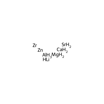 [AlH3].[CaH2].[LiH].[MgH2].[SrH2].[Zn].[Zr]